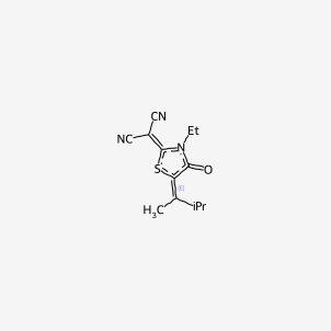 CCn1c(=C(C#N)C#N)s/c(=C(\C)C(C)C)c1=O